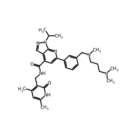 Cc1cc(C)c(CNC(=O)c2cc(-c3cccc(CN(C)CCCN(C)C)c3)nc3c2cnn3C(C)C)c(=O)[nH]1